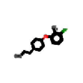 O=CCC[C@H]1CC[C@H](Oc2cccc(Br)c2C(F)(F)F)CC1